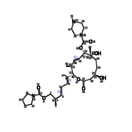 C/C(=C\C=C\[C@@H](C)COC(=O)N1CCCC1)[C@H]1OC(=O)C[C@H](O)CC[C@@](C)(O)[C@@H](OC(=O)N2CCN(C)CC2)/C=C/[C@@H]1C